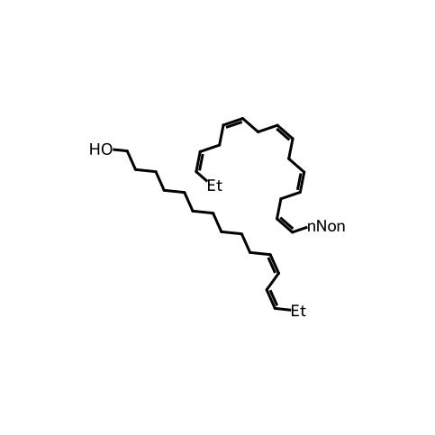 CC/C=C\C/C=C\C/C=C\C/C=C\C/C=C\CCCCCCCCC.CC/C=C\C=C/CCCCCCCCCCO